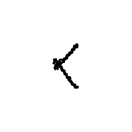 CCCCCCCCCCCCOCC(CCCCCCCOCCCCCC)(CN(C)C)CN(C)C